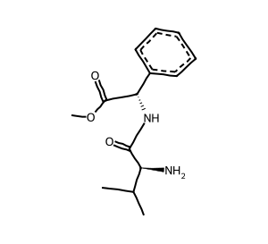 COC(=O)[C@@H](NC(=O)[C@@H](N)C(C)C)c1ccccc1